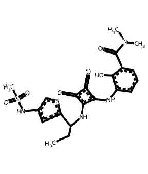 CCC(Nc1c(Nc2cccc(C(=O)N(C)C)c2O)c(=O)c1=O)c1cc(NS(C)(=O)=O)cs1